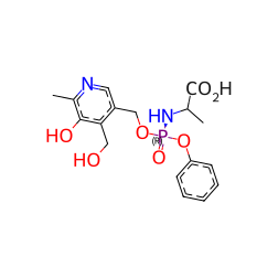 Cc1ncc(CO[P@](=O)(NC(C)C(=O)O)Oc2ccccc2)c(CO)c1O